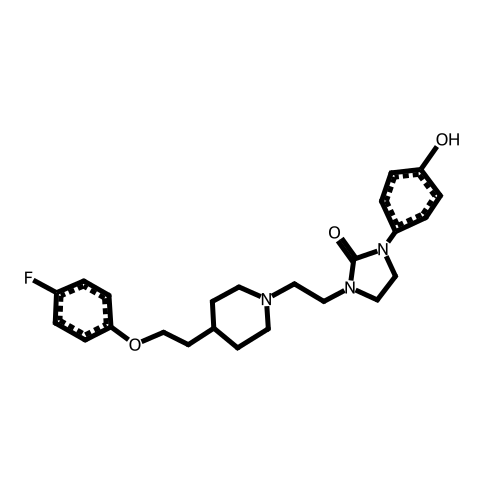 O=C1N(CCN2CCC(CCOc3ccc(F)cc3)CC2)CCN1c1ccc(O)cc1